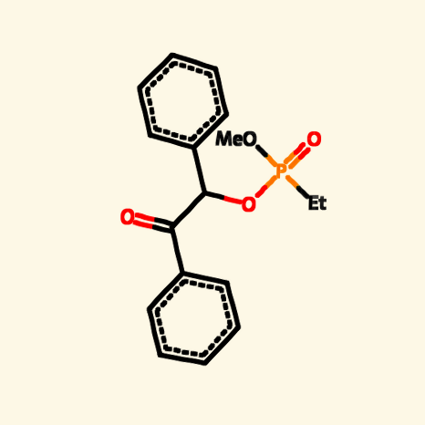 CCP(=O)(OC)OC(C(=O)c1ccccc1)c1ccccc1